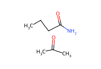 CC(C)=O.CCCC(N)=O